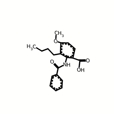 CCCCc1c(OC)ccc(C(=O)O)c1NC(=O)c1ccccc1